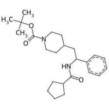 CC(C)(C)OC(=O)N1CCC(CC(NC(=O)C2CCCC2)c2ccccc2)CC1